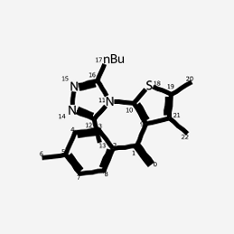 C=C(c1ccc(C)cc1)c1c(-n2c(C)nnc2CCCC)sc(C)c1C